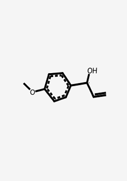 C=C[C](O)c1ccc(OC)cc1